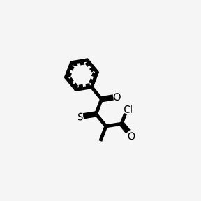 CC(C(=O)Cl)C(=S)C(=O)c1ccccc1